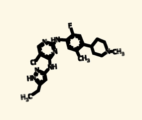 CCc1cc(Nc2nc(Nc3cc(C)c(C4CCN(C)CC4)cc3F)ncc2Cl)n[nH]1